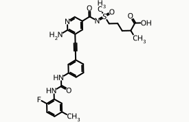 Cc1ccc(F)c(NC(=O)Nc2cccc(C#Cc3cc(C(=O)N=S(C)(=O)CCCC(C)C(=O)O)cnc3N)c2)c1